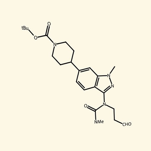 CNC(=O)N(CCC=O)c1nn(C)c2cc(C3CCN(C(=O)OC(C)(C)C)CC3)ccc12